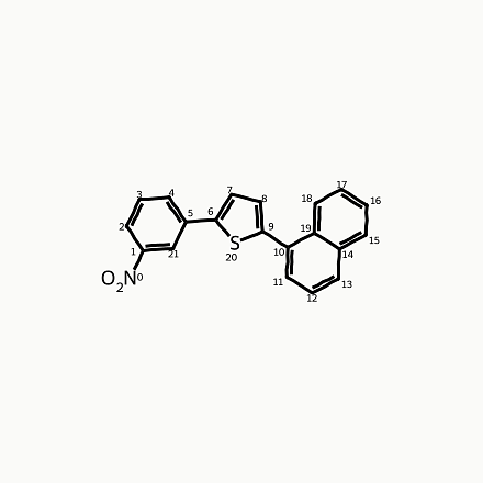 O=[N+]([O-])c1cccc(-c2ccc(-c3cccc4ccccc34)s2)c1